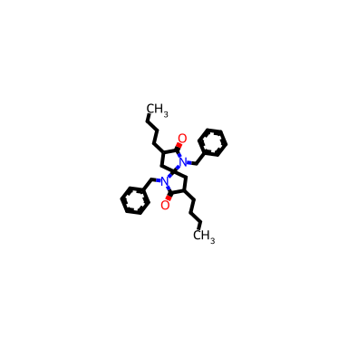 CCCCC1CC2(CC(CCCC)C(=O)N2Cc2ccccc2)N(Cc2ccccc2)C1=O